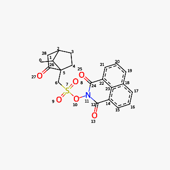 CC1C2CCC1(CS(=O)(=O)ON1C(=O)c3cccc4cccc(c34)C1=O)C(=O)C2